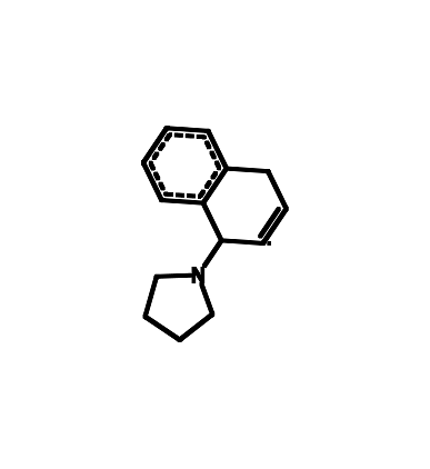 [C]1=CCc2ccccc2C1N1CCCC1